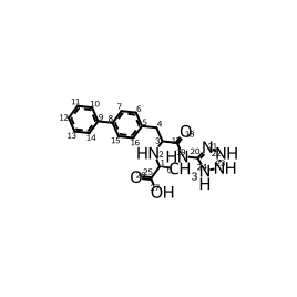 C[C@H](NC(Cc1ccc(-c2ccccc2)cc1)C(=O)NC1=NNNN1)C(=O)O